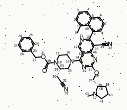 Cc1cccc2cccc(-c3ncc4c(N5CCN(C(=O)OCc6ccccc6)[C@@H](CC#N)C5)nc(OC[C@@H]5CCCN5C)nc4c3C#N)c12